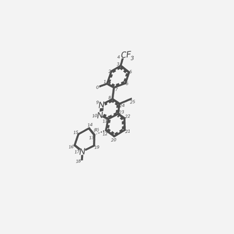 Cc1cc(C(F)(F)F)ccc1-c1nnc2c([C@H]3CCCN(C)C3)cccc2c1C